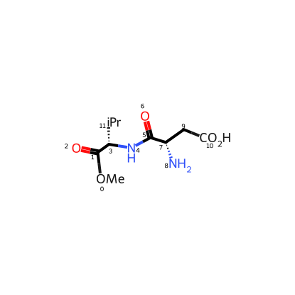 COC(=O)[C@@H](NC(=O)[C@@H](N)CC(=O)O)C(C)C